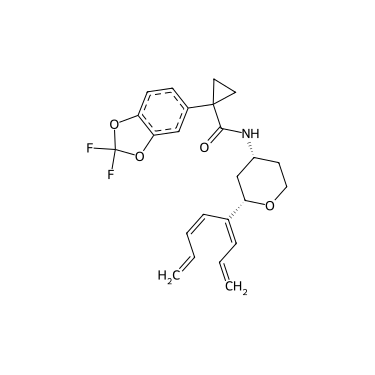 C=C/C=C\C(=C/C=C)[C@@H]1C[C@H](NC(=O)C2(c3ccc4c(c3)OC(F)(F)O4)CC2)CCO1